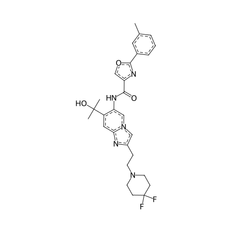 Cc1cccc(-c2nc(C(=O)Nc3cn4cc(CCN5CCC(F)(F)CC5)nc4cc3C(C)(C)O)co2)c1